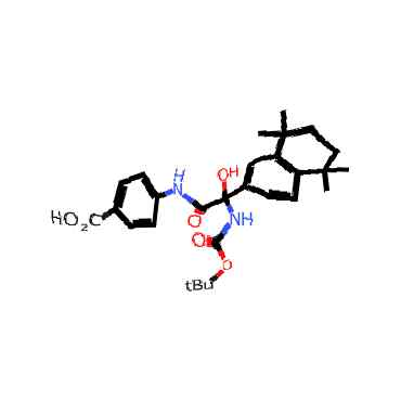 CC(C)(C)OC(=O)NC(O)(C(=O)Nc1ccc(C(=O)O)cc1)c1ccc2c(c1)C(C)(C)CCC2(C)C